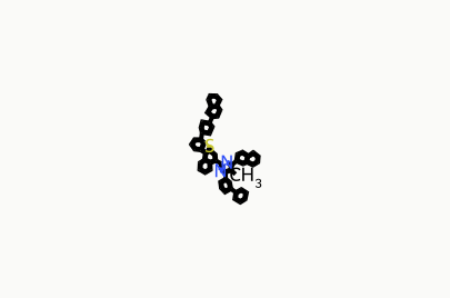 Cc1c(-c2cccc(-c3ccccc3)c2)nc(-c2cc3sc4c(-c5ccc(-c6ccc7ccccc7c6)cc5)cccc4c3c3ccccc23)nc1-c1ccc2ccccc2c1